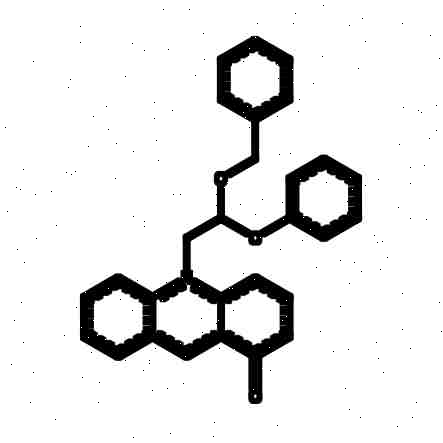 O=c1cccc2n(CC(OCc3ccccc3)Oc3ccccc3)c3ccccc3cc1-2